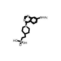 CC(=O)Nc1ccc2c(N3CCC(CCP(=O)(O)O)CC3)ncnc2c1